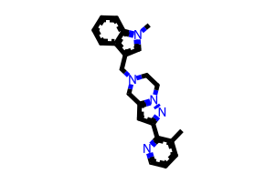 Cc1cccnc1-c1cc2n(n1)CCN(Cc1cn(C)c3ccccc13)C2